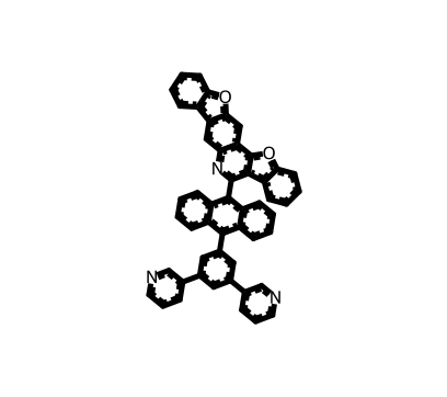 c1cncc(-c2cc(-c3cccnc3)cc(-c3c4ccccc4c(-c4nc5cc6c(cc5c5oc7ccccc7c45)oc4ccccc46)c4ccccc34)c2)c1